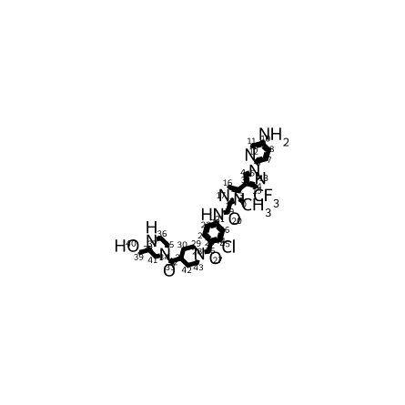 Cn1c(-c2cn(-c3ccc(N)cn3)nc2C(F)(F)F)cnc1C(=O)Nc1ccc(C(=O)N2CCC(C(=O)N3CCNC(CO)C3)CC2)c(Cl)c1